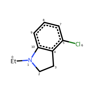 CCN1CCc2c(Cl)cccc21